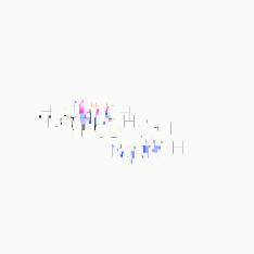 CCc1nc(Nc2cc(-c3ccc([C@@H](C)NC(=O)c4nc(C(C)(C)C)no4)c(C)c3)ncn2)ccc1C(C)C